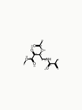 C=C(C)C(=O)NCC(OC(C)=O)C(=O)C(=O)OC